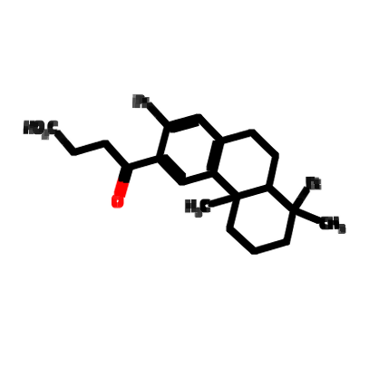 CCC1(C)CCCC2(C)c3cc(C(=O)CCC(=O)O)c(C(C)C)cc3CCC12